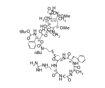 CCCCN(CCSSC[C@@H]1NC(=O)[C@@H](Cc2ccccc2)NC(=O)[C@H](C)NC(=O)CNC(=O)[C@H](CCCNC(=N)N)NC1=O)C(=O)O[C@@H](C(=O)OC1C[C@@]2(O)[C@@H](C)[C@H]3[C@](C)(C[C@H](OC)C(=C1C)C2(C)C)[C@@H](OC)C[C@H]1OC[C@@]31C)[C@@H](NC(=O)OC(C)(C)C)c1ccccc1